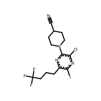 N#CC1CCN(c2nc(CCCC(F)(F)F)c(I)nc2Cl)CC1